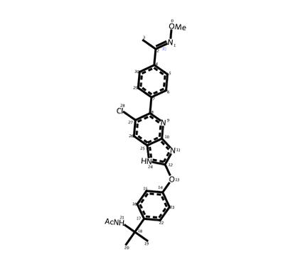 CO/N=C(\C)c1ccc(-c2nc3nc(Oc4ccc(C(C)(C)NC(C)=O)cc4)[nH]c3cc2Cl)cc1